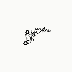 COP(=O)(OC)OCCCC[C@@H](COC(=O)Nc1cc2ccccc2cn1)N(NCc1cccc(F)c1Cl)C(C)=O